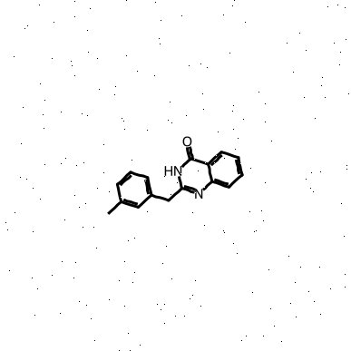 Cc1cccc(Cc2nc3ccccc3c(=O)[nH]2)c1